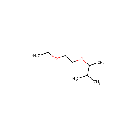 [CH2]COCCOC(C)C(C)C